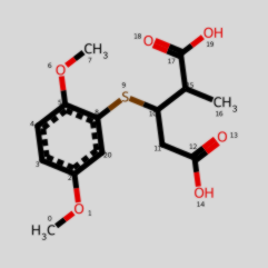 COc1ccc(OC)c(SC(CC(=O)O)C(C)C(=O)O)c1